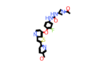 CC(=O)N1CC(NC(=O)Nc2ccc(Oc3ccnc4cc(-c5ccc(C=O)cn5)sc34)c(F)c2)C1